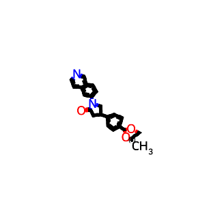 C[C@H]1COC(c2ccc(C3CC(=O)N(c4ccc5cnccc5c4)C3)cc2)O1